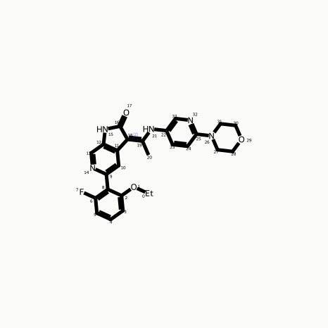 CCOc1cccc(F)c1-c1cc2c(cn1)NC(=O)/C2=C(/C)Nc1ccc(N2CCOCC2)nc1